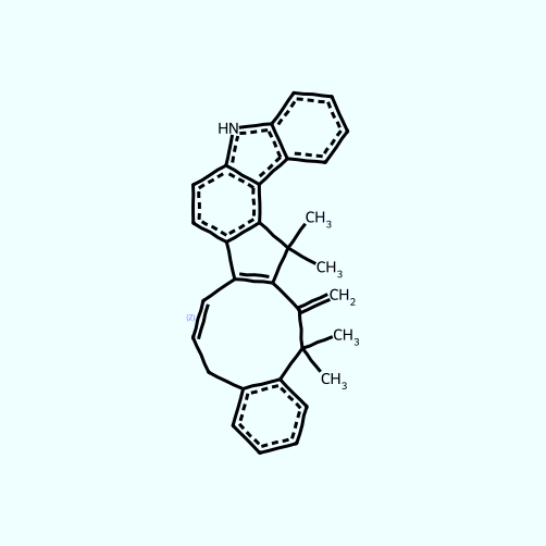 C=C1C2=C(/C=C\Cc3ccccc3C1(C)C)c1ccc3[nH]c4ccccc4c3c1C2(C)C